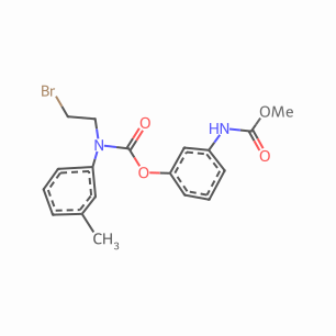 COC(=O)Nc1cccc(OC(=O)N(CCBr)c2cccc(C)c2)c1